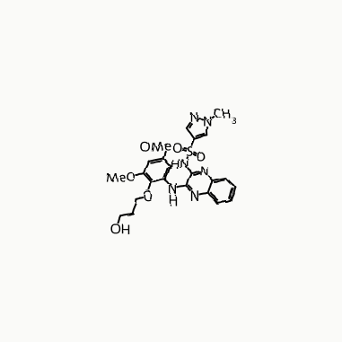 COc1cc(Nc2nc3ccccc3nc2NS(=O)(=O)c2cnn(C)c2)c(OCCCO)c(OC)c1